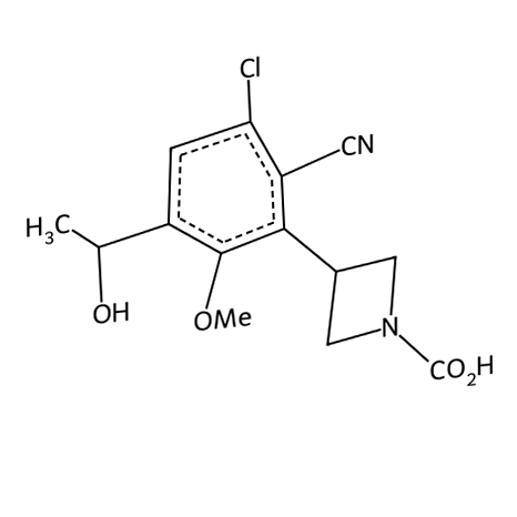 COc1c(C(C)O)cc(Cl)c(C#N)c1C1CN(C(=O)O)C1